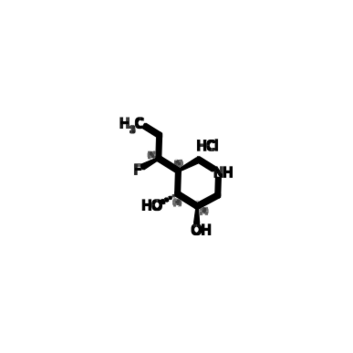 CC[C@H](F)[C@H]1CNC[C@@H](O)[C@@H]1O.Cl